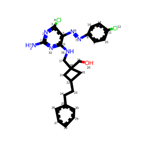 Nc1nc(Cl)c(N=Nc2ccc(Cl)cc2)c(NCC2(CO)CC(CCc3ccccc3)C2)n1